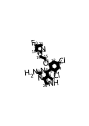 Nc1nc2c(c(-c3c(Cl)cc(Cl)cc3OCCn3cc(F)cn3)n1)CNC2